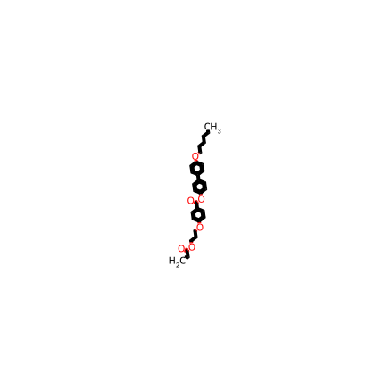 C=CC(=O)OCCCOc1ccc(C(=O)Oc2ccc(-c3ccc(OCCCCCC)cc3)cc2)cc1